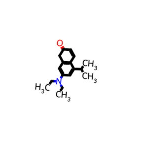 CCN(CC)c1cc2c(c(C(C)C)c1)C=CC(=O)C2